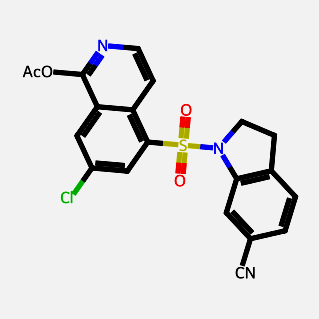 CC(=O)Oc1nccc2c(S(=O)(=O)N3CCc4ccc(C#N)cc43)cc(Cl)cc12